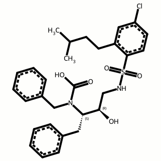 CC(C)CCc1cc(Cl)ccc1S(=O)(=O)NC[C@@H](O)[C@H](Cc1ccccc1)N(Cc1ccccc1)C(=O)O